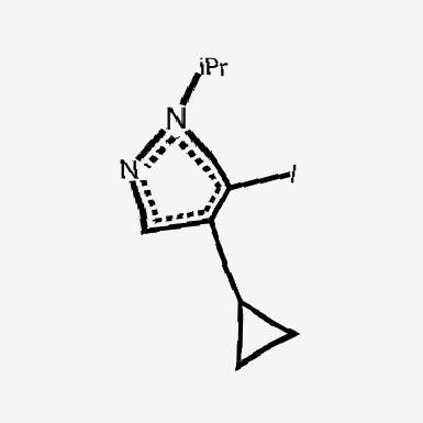 CC(C)n1ncc(C2CC2)c1I